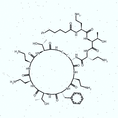 CC(C)CCCCC(=O)N[C@@H](CCN)C(=O)N[C@H](C(=O)N[C@H](CCN)C(=O)N[C@H]1CCNC(=O)[C@H]([C@@H](C)O)NC(=O)[C@H](CCN)NC(=O)[C@H](CCN)NC(=O)[C@H]([C@@H](C)O)NC(=O)[C@@H](Cc2ccccc2)NC(=O)[C@H](CCN)NC1=O)[C@@H](C)O